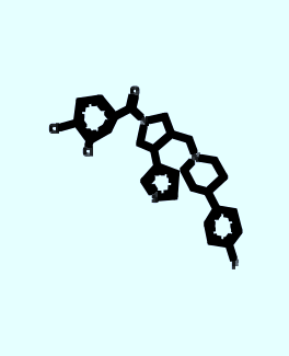 O=C(c1ccc(Cl)c(Cl)c1)N1CC(CN2CCC(c3ccc(F)cc3)CC2)C(c2ccsc2)C1